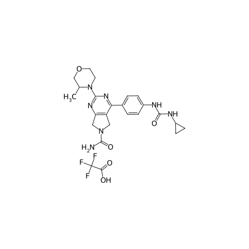 CC1COCCN1c1nc2c(c(-c3ccc(NC(=O)NC4CC4)cc3)n1)CN(C(N)=O)C2.O=C(O)C(F)(F)F